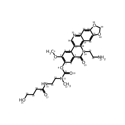 COc1cc2c(cc1OC(=O)N(C)CCNC(=O)CCCO)c(=O)n(CCN)c1c3cc4c(cc3ncc21)OCO4